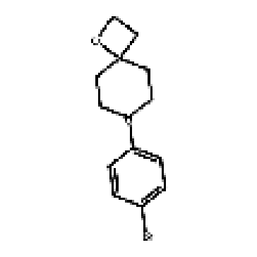 Brc1ccc(N2CCC3(CCO3)CC2)cc1